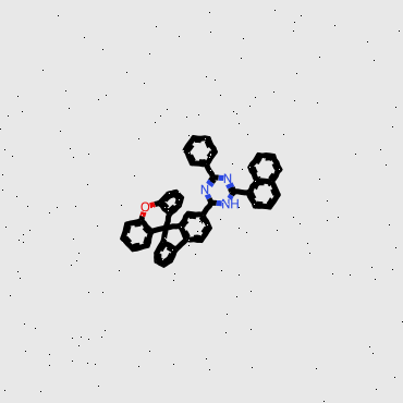 c1ccc(C2=NC(c3ccc4c(c3)C3(c5ccccc5Oc5ccccc53)c3ccccc3-4)NC(c3cccc4ccccc34)=N2)cc1